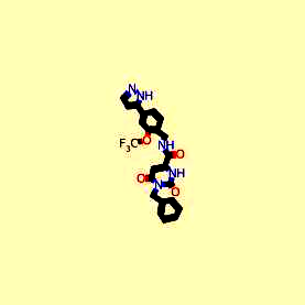 O=C(NCc1ccc(-c2ccn[nH]2)cc1OC(F)(F)F)c1cc(=O)n(Cc2ccccc2)c(=O)[nH]1